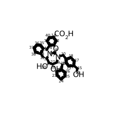 O=C(O)c1ccc(CN2C(=O)N(Cc3ccc(CO)cc3)[C@H](Cc3ccccc3)[C@H](O)[C@@H](O)[C@H]2Cc2ccccc2)cc1